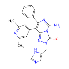 Cc1cc(-c2c(-c3ccccc3)nc(N)n3c(=O)n(Cc4cnc[nH]4)nc23)cc(C)n1